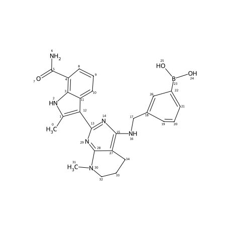 Cc1[nH]c2c(C(N)=O)cccc2c1-c1nc(NCc2cccc(B(O)O)c2)c2c(n1)N(C)CCC2